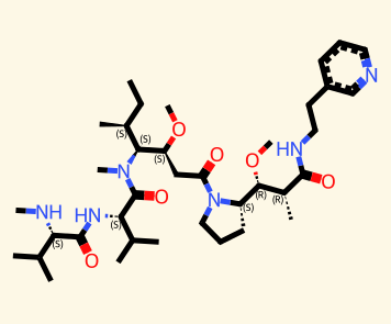 CC[C@H](C)[C@@H]([C@H](CC(=O)N1CCC[C@H]1[C@H](OC)[C@@H](C)C(=O)NCCc1cccnc1)OC)N(C)C(=O)[C@@H](NC(=O)[C@@H](NC)C(C)C)C(C)C